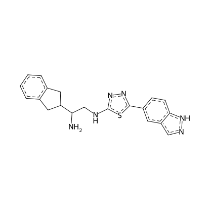 NC(CNc1nnc(-c2ccc3[nH]ncc3c2)s1)C1Cc2ccccc2C1